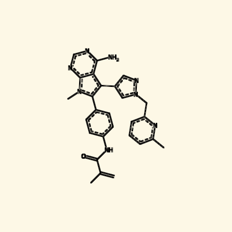 C=C(C)C(=O)Nc1ccc(-c2c(-c3cnn(Cc4cccc(C)n4)c3)c3c(N)ncnc3n2C)cc1